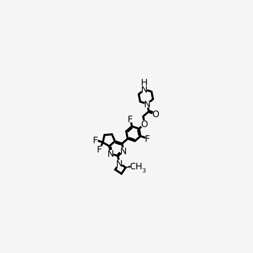 C[C@H]1CCN1c1nc(-c2cc(F)c(OCC(=O)N3CCNCC3)c(F)c2)c2c(n1)C(F)(F)CC2